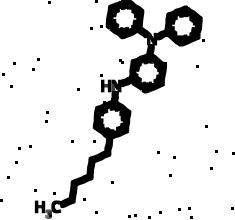 CCCCCCc1ccc(Nc2cccc(N(c3ccccc3)c3ccccc3)c2)cc1